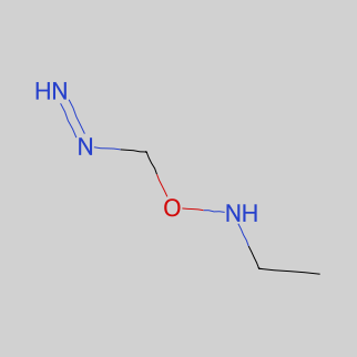 CCNOCN=N